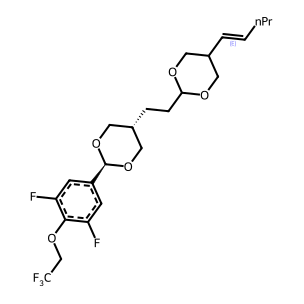 CCC/C=C/C1COC(CC[C@H]2CO[C@H](c3cc(F)c(OCC(F)(F)F)c(F)c3)OC2)OC1